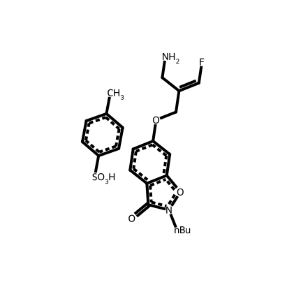 CCCCn1oc2cc(OCC(=CF)CN)ccc2c1=O.Cc1ccc(S(=O)(=O)O)cc1